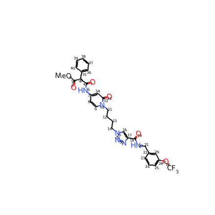 COC(=O)[C@H](C(=O)Nc1ccn(CCCCn2cc(C(=O)NCc3cccc(OC(F)(F)F)c3)nn2)c(=O)c1)c1ccccc1